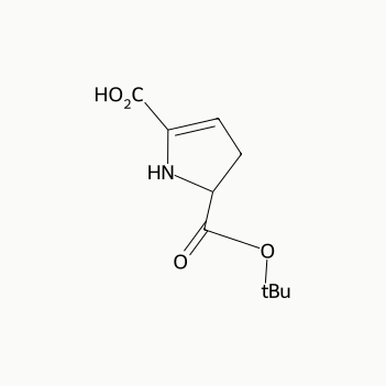 CC(C)(C)OC(=O)C1CC=C(C(=O)O)N1